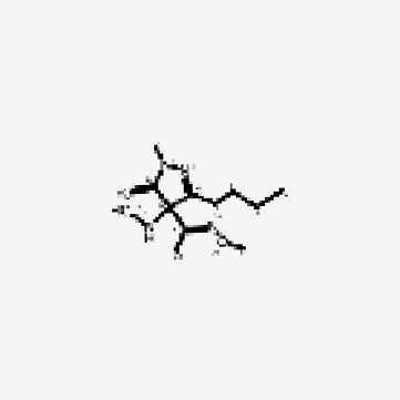 CCCCC1=NN(C)C(=O)C1(NO)C(C)=NOC